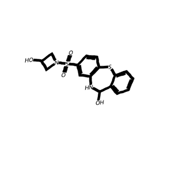 O=S(=O)(c1ccc2c(c1)NC(O)c1ccccc1S2)N1CC(O)C1